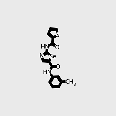 Cc1cccc(NC(=O)c2cnc(NC(=O)c3cccs3)[se]2)c1